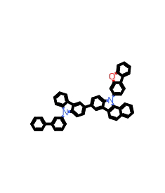 c1ccc(-c2cccc(-n3c4ccccc4c4cc(-c5ccc6c(c5)c5ccc7ccccc7c5n6-c5ccc6c(c5)oc5ccccc56)ccc43)c2)cc1